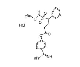 CCCC(=N)c1ccc(OC(=O)CCC(c2ccccc2)S(=O)(=O)NOC(C)(C)C)cc1.Cl